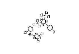 CSc1ccc(-c2nc(C(Cl)(Cl)Cl)nc(C(Cl)(Cl)Cl)n2)cc1.Clc1nc(Cl)nc(Nc2ccccc2Cl)n1